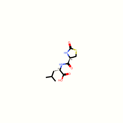 CC(C)C[C@H](NC(=O)[C@@H]1CSC(=O)N1)C(=O)O